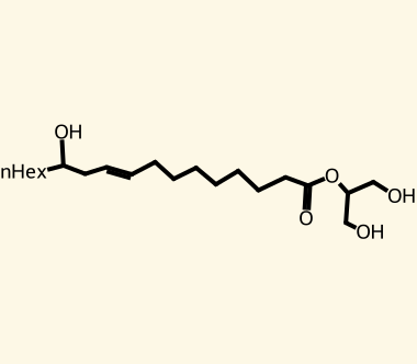 CCCCCCC(O)C/C=C/CCCCCCCC(=O)OC(CO)CO